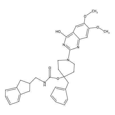 COc1cc2nc(N3CCC(Cc4ccccc4)(OC(=O)NCC4Cc5ccccc5C4)CC3)nc(O)c2cc1OC